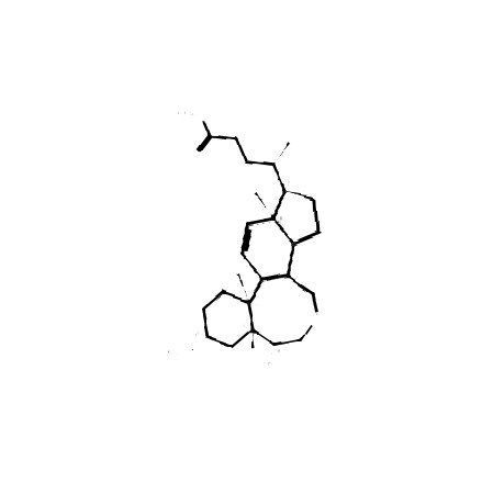 CC[C@H]1COCC2C3CC[C@H]([C@H](C)CCC(=O)OC)[C@@]3(C)C=CC2[C@@]2(C)CC[C@@H](OC(C)=O)C[C@@H]12